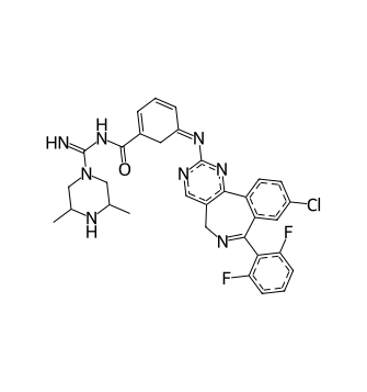 CC1CN(C(=N)NC(=O)C2=CC=C/C(=N/c3ncc4c(n3)-c3ccc(Cl)cc3C(c3c(F)cccc3F)=NC4)C2)CC(C)N1